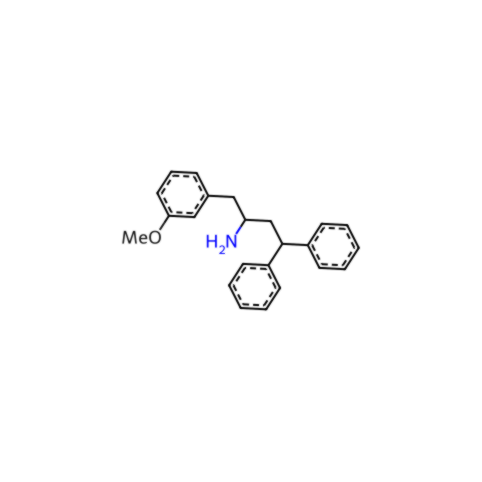 COc1cccc(CC(N)CC(c2ccccc2)c2ccccc2)c1